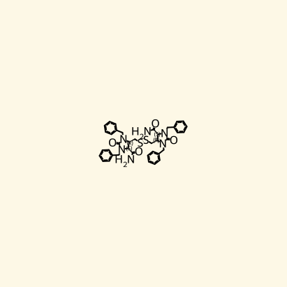 NC(=O)[C@@H]1[C@H](CSSC[C@H]2[C@@H](C(N)=O)N(Cc3ccccc3)C(=O)N2Cc2ccccc2)N(Cc2ccccc2)C(=O)N1Cc1ccccc1